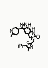 CC1=CCC(c2n[nH]c3cc4c(cc23)CN(Cc2nc(C)c(C(C)C)s2)C(=O)N4)=CC=N1